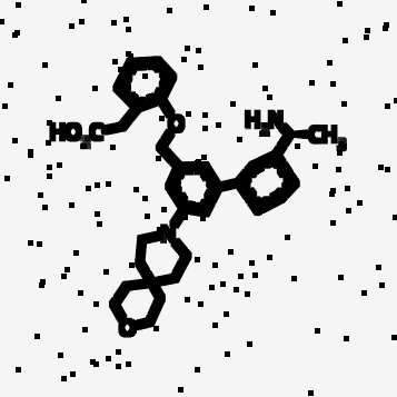 C[C@H](N)c1cccc(-c2cc(COc3ccccc3CC(=O)O)cc(N3CCC4(CCOCC4)CC3)c2)c1